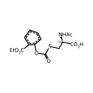 CCOC(=O)c1ccccc1OC(=O)SC[C@@H](NC(C)=O)C(=O)O